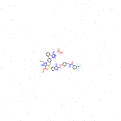 CC(=O)O.CCCc1nc(C(Cc2ccc(-c3ccccc3-c3nnn[nH]3)cc2)Sc2ccc3nc(C(C)Oc4ccc(CNC(=O)c5cccc(C(F)(F)F)c5)cc4)[nH]c3c2)c(C(=O)OCC)[nH]1